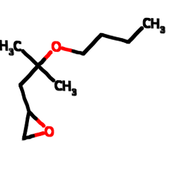 CCCCOC(C)(C)CC1CO1